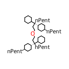 CCCCCC(CCOCCC(CCCCC)(C1CCCCC1)[C@H]1CC[C@H](CCCCC)CC1)(C1CCCCC1)[C@H]1CC[C@H](CCCCC)CC1